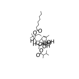 CCCCCCCC(=O)O[C@@]12CC[C@]34C=C(C)[C@H](O)[C@@]3(O)[C@H](O)C(COC(=O)C(C)C(C)C)=C[C@H](C4O)[C@@H]1C2(C)C